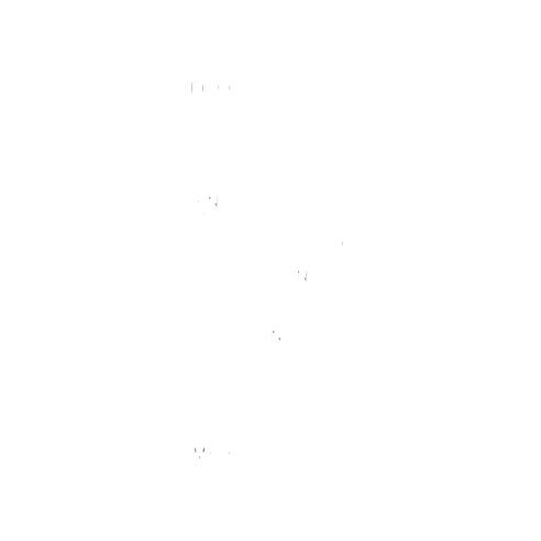 CCOC(=O)CSc1ccc(C(=O)N2CCN(c3ccc(OC)cc3)CC2)cc1[N+](=O)[O-]